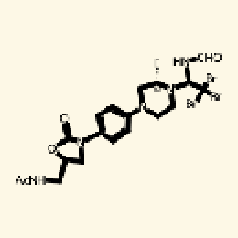 CC(=O)NCC1CN(c2ccc(N3CCN(C(NC=O)C(Br)(Br)Br)[C@@H](F)C3)cc2)C(=O)O1